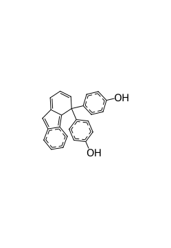 Oc1ccc(C2(c3ccc(O)cc3)C=CC=C3C=c4ccccc4=C32)cc1